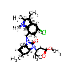 CCC(CC(=O)OC)n1c(=O)n(Cc2cc(Cl)cc3c(C)c(C)n(C)c23)c2ccc(C)cc21